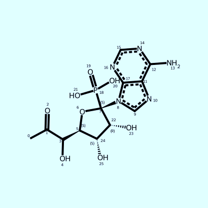 CC(=O)C(O)[C@H]1O[C@](n2cnc3c(N)ncnc32)(P(=O)(O)O)[C@H](O)[C@@H]1O